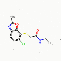 CC(C)(C)c1nc2ccc(Cl)c(SCC(=O)NCC(F)(F)F)c2o1